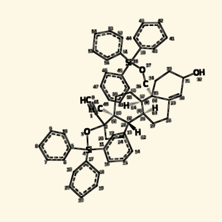 C#CC1(O[Si](c2ccccc2)(c2ccccc2)c2ccccc2)CC[C@H]2[C@@H]3CCC4=CC(O)CC[C@]4(CO[Si](c4ccccc4)(c4ccccc4)c4ccccc4)[C@@H]3CC[C@@]21C